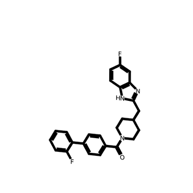 O=C(c1ccc(-c2ccccc2F)cc1)N1CCC(Cc2nc3cc(F)ccc3[nH]2)CC1